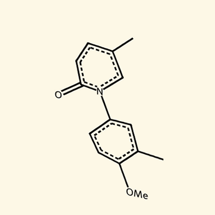 COc1ccc(-n2cc(C)ccc2=O)cc1C